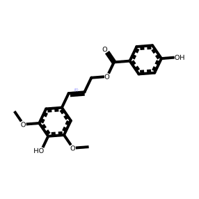 COc1cc(/C=C/COC(=O)c2ccc(O)cc2)cc(OC)c1O